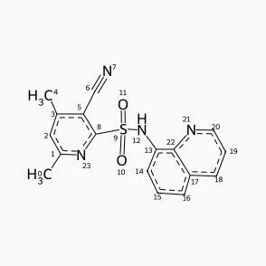 Cc1cc(C)c(C#N)c(S(=O)(=O)Nc2cccc3cccnc23)n1